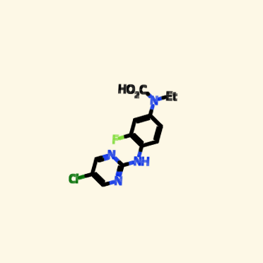 CCN(C(=O)O)c1ccc(Nc2ncc(Cl)cn2)c(F)c1